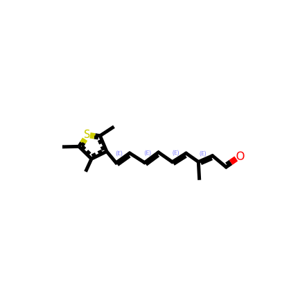 CC(/C=C/C=C/C=C/c1c(C)sc(C)c1C)=C\C=O